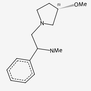 CNC(CN1CC[C@H](OC)C1)c1ccccc1